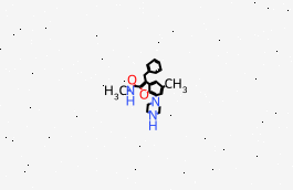 CNC(=O)c1oc2c(N3CCNCC3)cc(C)cc2c1Cc1ccccc1